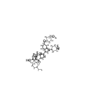 CCC1CC2CC(C1)C(NC(=O)c1cnc(-c3cn(C4CCC(F)(F)CC4)c4cc(OC5CCC(OC)CC5)ccc34)nc1C(F)(F)F)(C(=O)O)C2